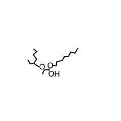 CCCCCCCCOC(O)C(C)OCC(CC)CCCC